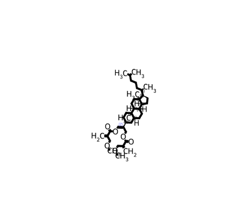 C=C(COC)C(=O)O/C=C(\COC(=O)C(=C)COC)[C@H]1CC[C@@]2(C)[C@@H](CC[C@@H]3[C@@H]2CC[C@]2(C)[C@@H]([C@H](C)CCCC(C)C)CC[C@@H]32)C1